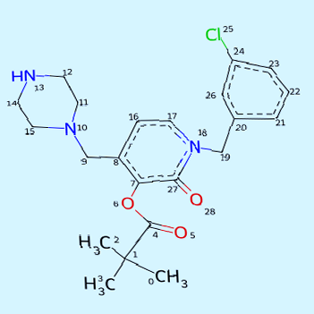 CC(C)(C)C(=O)Oc1c(CN2CCNCC2)ccn(Cc2cccc(Cl)c2)c1=O